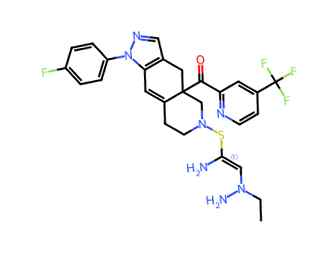 CCN(N)/C=C(\N)SN1CCC2=Cc3c(cnn3-c3ccc(F)cc3)CC2(C(=O)c2cc(C(F)(F)F)ccn2)C1